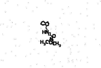 CC1CN(C(=O)C2CC(NCCc3cccc4ccccc34)C2)CC(C)O1